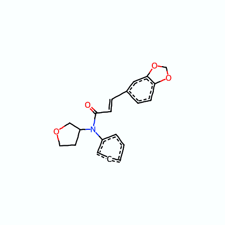 O=C(/C=C/c1ccc2c(c1)OCO2)N(c1ccccc1)C1CCOC1